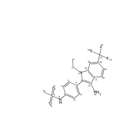 CCn1c(-c2ccc(NS(C)(=O)=O)cc2)c(N)c2ccc(C(F)(F)F)cc21